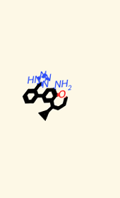 Nc1cc(-c2ccccc2-c2nnn[nH]2)cc2c1OCCCC2C1CC1